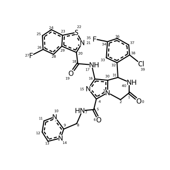 O=C1Cn2c(C(=O)NCc3ncccn3)nc(NC(=O)c3nsc4ccc(F)cc34)c2C(c2cc(F)ccc2Cl)N1